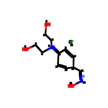 OCC[N+](CCO)=C1C=CC(/C=N\O)C=C1.[Cl-]